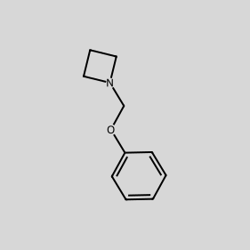 c1ccc(OCN2CCC2)cc1